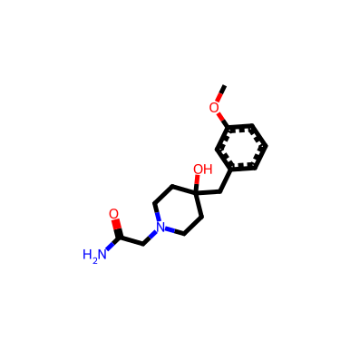 COc1cccc(CC2(O)CCN(CC(N)=O)CC2)c1